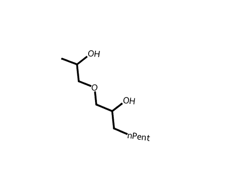 CCCCCCC(O)COCC(C)O